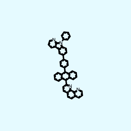 c1ccc(-n2c3ccc(-c4ccc(-c5c6ccccc6c(-c6ccc7ccc8cccnc8c7n6)c6ccccc56)cc4)cc3c3cccnc32)cc1